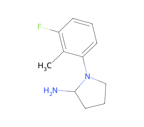 Cc1c(F)cccc1N1CCCC1N